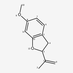 C=C(C)C1Cc2ccc(OC)cc2O1